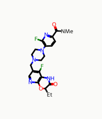 CCC1Oc2ncc(CN3CCN(c4ccc(C(=O)NC)nc4F)CC3)c(F)c2NC1=O